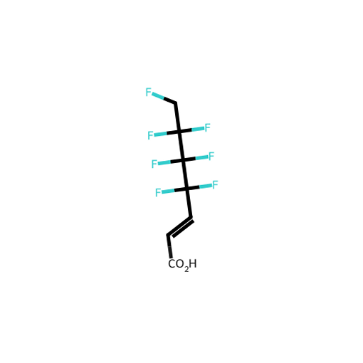 O=C(O)C=CC(F)(F)C(F)(F)C(F)(F)CF